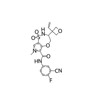 C=CC1(C2COc3c(cn(C)c3C(=O)Nc3ccc(F)c(C#N)c3)S(=O)(=O)N2)COC1